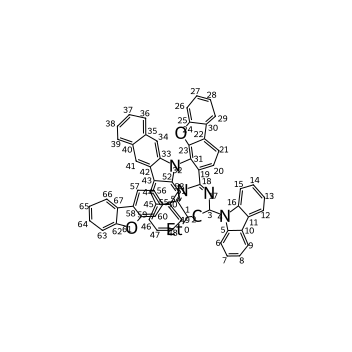 CCC1CC(n2c3ccccc3c3ccccc32)N=C(c2ccc3c(oc4ccccc43)c2-n2c3cc4ccccc4cc3c3cc4ccccc4cc32)N=C1c1ccc2c(c1)oc1ccccc12